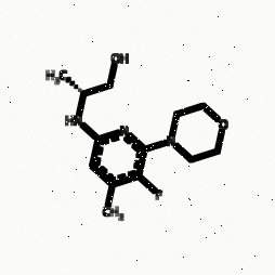 Cc1cc(N[C@H](C)CO)nc(N2CCOCC2)c1F